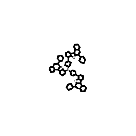 c1ccc(-c2cc3ccccc3c3c2oc2c(-c4ccc(N(c5ccc(-c6cccc7c6oc6c(-c8ccccc8)cc8ccccc8c67)cc5)c5cccc6c5oc5c(-c7ccccc7)cc7ccccc7c56)cc4)cccc23)cc1